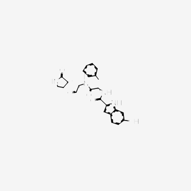 Cc1ccc2cc(C(=O)N[C@@H](Cc3ccccc3)C(=O)N[C@H](C=O)C[C@@H]3CCNC3=O)[nH]c2c1